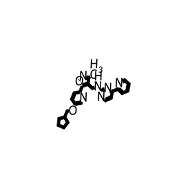 Cc1noc(-c2ccc(OCC3CCCC3)cn2)c1CNc1nccc(-c2ccccn2)n1